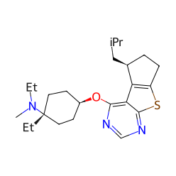 CCN(C)[C@]1(CC)CC[C@@H](Oc2ncnc3sc4c(c23)[C@@H](CC(C)C)CC4)CC1